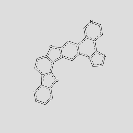 c1ccc2c(c1)oc1c2ccc2oc3cc4c5cnccc5c5nccn5c4cc3c21